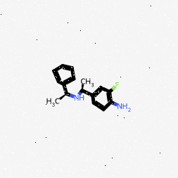 C[C@H](N[C@@H](C)c1ccc(N)c(F)c1)c1ccccc1